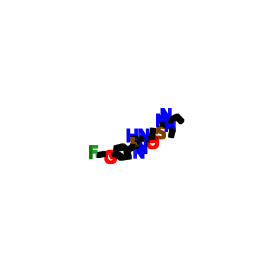 CCc1nnc(SCC(=O)Nc2nnc(-c3ccc(OCCF)cc3)s2)n1CC